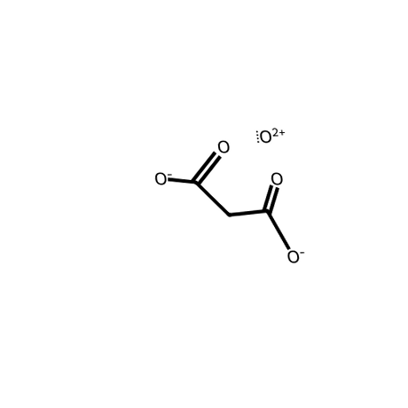 O=C([O-])CC(=O)[O-].[O+2]